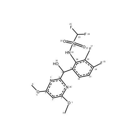 COc1cc(OC)nc(C(O)c2ccc(F)c(F)c2NS(=O)(=O)C(F)F)n1